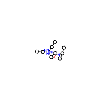 c1ccc(-c2ccc(C3=NC(c4cccc5oc6c(-n7c8ccccc8c8ccc(-c9ccccc9)cc87)cccc6c45)NC(c4ccc(-c5ccccc5)cc4)N3)cc2)cc1